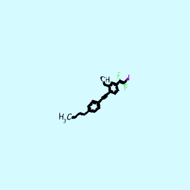 CCCCc1ccc(C#Cc2ccc(/C(F)=C(\F)I)cc2CC)cc1